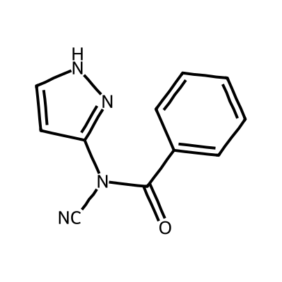 N#CN(C(=O)c1ccccc1)c1cc[nH]n1